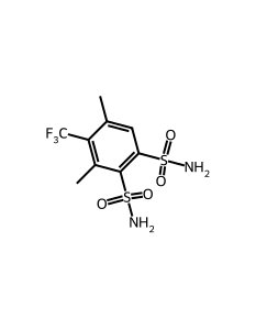 Cc1cc(S(N)(=O)=O)c(S(N)(=O)=O)c(C)c1C(F)(F)F